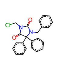 O=C1N(CCl)C(=O)C(c2ccccc2)(c2ccccc2)N1Cc1ccccc1